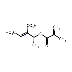 C=C(C)C(=O)OC(C)/C(=C/C(=O)O)C(=O)O